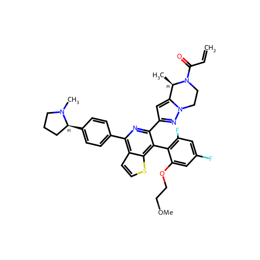 C=CC(=O)N1CCn2nc(-c3nc(-c4ccc([C@H]5CCCN5C)cc4)c4ccsc4c3-c3c(F)cc(F)cc3OCCOC)cc2[C@H]1C